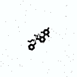 CCCN(Cc1ccccc1)c1c2cccc(-c3c(C)cc(C)cc3C)c2nn1C